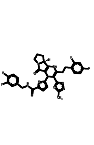 Cc1nnc(C2=C(CCc3ccc(F)cc3F)NC3=C(C(=O)N4CCC[C@@H]34)C2c2ccc(C(=O)NCc3ccc(F)c(F)c3)s2)o1